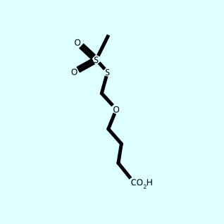 CS(=O)(=O)SCOCCCC(=O)O